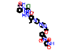 CCc1cc(Nc2ncc(Cl)c(Nc3ccccc3P(C)(C)=O)n2)c(OC)cc1N1CCC(N2CCN(CC(C)(C)Oc3cccc4c3CN(C3CCC(=O)NC3=O)C4=O)CC2)CC1